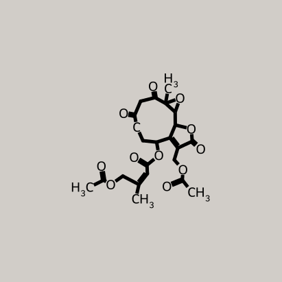 CC(=O)OCC1=C2C(OC(=O)/C=C(/C)COC(C)=O)CCC(=O)CC(=O)C3(C)OC3C2OC1=O